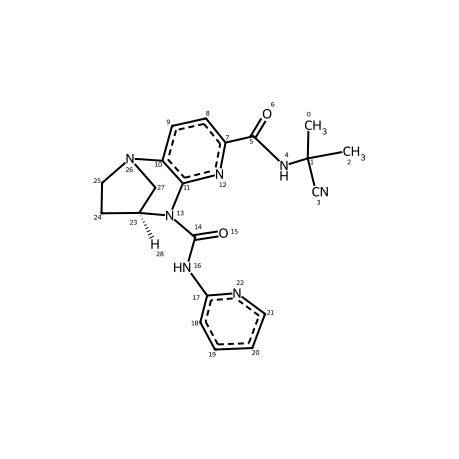 CC(C)(C#N)NC(=O)c1ccc2c(n1)N(C(=O)Nc1ccccn1)[C@H]1CCN2C1